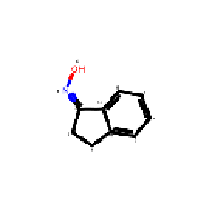 O/N=C1/CCc2ccccc21